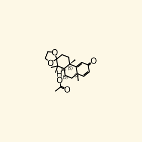 CC(=O)O[C@H]1C[C@@]2(C)C=CC(=O)C=C2[C@@]2(C)CCC3(OCCO3)C(C)(C)[C@H]12